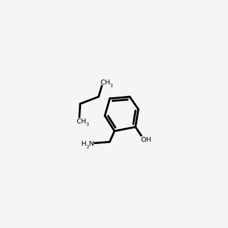 CCCC.NCc1ccccc1O